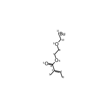 CC=C(C)C(=O)OCCOCC(C)(C)C